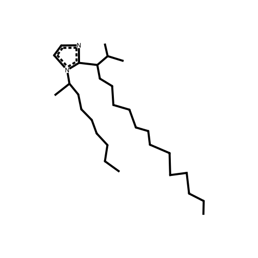 CCCCCCCCCCCCCC(c1nccn1C(C)CCCCCCC)C(C)C